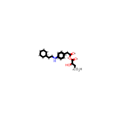 O=C(O)CC(O)C(=O)OC(=O)Cc1ccc(NCCC2CCCCC2)cc1